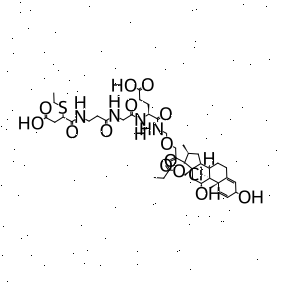 CCSC(CC(=O)O)C(=O)NCCC(=O)NCC(=O)N[C@@H](CCC(=O)O)C(=O)NCOCC(=O)[C@@]1(OC(=O)CC)[C@@H](C)CC2[C@@H]3CCC4=CC(O)C=C[C@]4(C)[C@@]3(Cl)[C@@H](O)C[C@@]21C